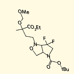 CCOC(=O)C(C)(CCN1OCC2C1C(F)(F)CN2C(=O)OC(C)(C)C)OCOC